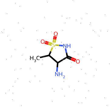 CC1C(N)C(=O)NS1(=O)=O